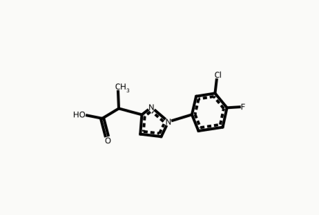 CC(C(=O)O)c1ccn(-c2ccc(F)c(Cl)c2)n1